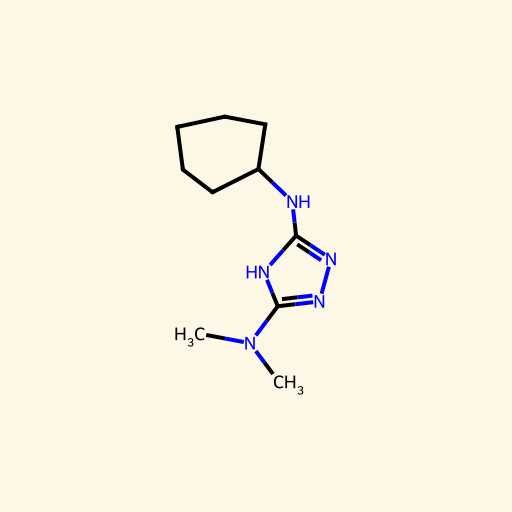 CN(C)c1nnc(NC2CCCCC2)[nH]1